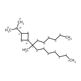 CCCCCCCC(C)(CCCCCC)N1CC(N(C)C)C1